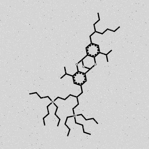 CCCCC(CCC)Cc1cc(C(C)C)c2c(c1)C1Oc3c(C(C)C)cc(CC(CCC[N+](CCCC)(CCCC)CCCC)CC[N+](CCCC)(CCCC)CCCC)cc3C(O2)O1